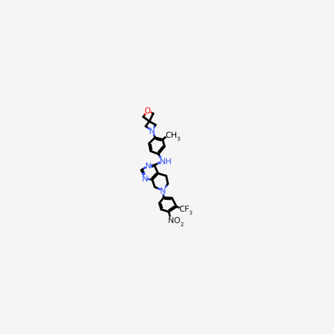 Cc1cc(Nc2ncnc3c2CCN(c2ccc([N+](=O)[O-])c(C(F)(F)F)c2)C3)ccc1N1CC2(COC2)C1